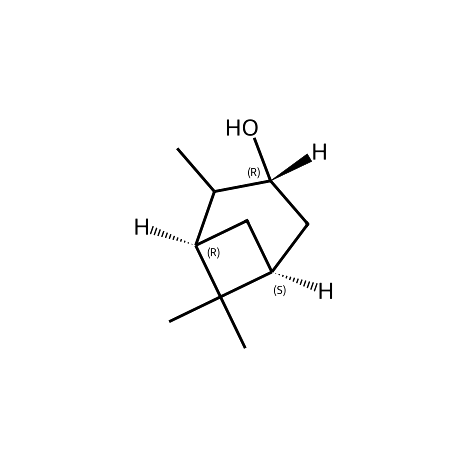 CC1[C@H](O)C[C@@H]2C[C@H]1C2(C)C